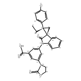 CC(C)[C@@]1(c2ccc(Cl)cc2)C[C@@]12C(=O)N(c1cc(C(=O)O)cc(N3CCOC3=O)c1)c1ccccc12